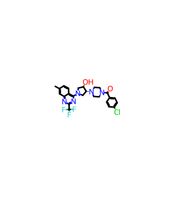 Cc1ccc2c(N3C[C@@H](O)[C@H](N4CCN(C(=O)c5ccc(Cl)cc5)CC4)C3)nc(C(F)(F)F)nc2c1